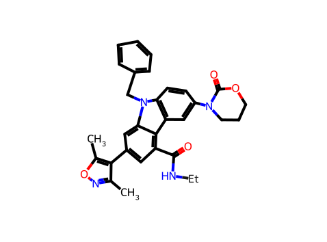 CCNC(=O)c1cc(-c2c(C)noc2C)cc2c1c1cc(N3CCCOC3=O)ccc1n2Cc1ccccc1